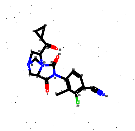 Cc1c(N2C(=O)C3CN4CC(C(=O)C5CC5)[N+]3(C4)C2=O)ccc(C#N)c1Cl